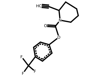 C#CC1CCCCN1C(=O)Oc1ccc(C(F)(F)F)cc1